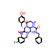 CN(C)c1cc(F)ccc1CN1CC2N(C(=O)CN(C)N2C(=O)NCc2ccccc2)[C@@H](Cc2ccc(O)cc2)C1=O